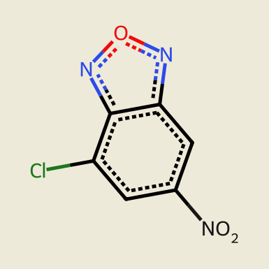 O=[N+]([O-])c1cc(Cl)c2nonc2c1